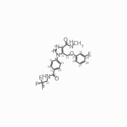 CNC(=O)c1nnn(-c2ccc(C(=O)NCC(F)(F)F)cc2)c1COc1cccc(F)c1